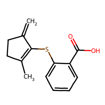 C=C1CCC(C)=C1Sc1ccccc1C(=O)O